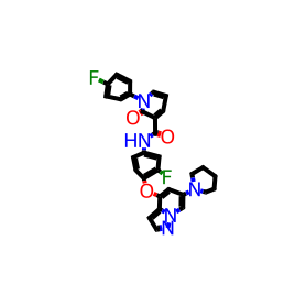 O=C(Nc1ccc(Oc2cc(N3CCCCC3)cn3nccc23)c(F)c1)c1cccn(-c2ccc(F)cc2)c1=O